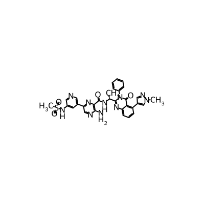 C[C@H](NC(=O)c1nc(-c2cncc(NS(C)(=O)=O)c2)cnc1N)c1nc2cccc(-c3cnn(C)c3)c2c(=O)n1-c1ccccc1